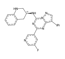 CC(C)c1cnn2c(N[C@@H]3CNc4ccccc4C3)nc(-c3cncc(F)c3)nc12